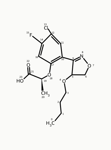 CCCCOC1CON=C1c1cc(Cl)c(F)cc1O[C@@H](C)C(=O)O